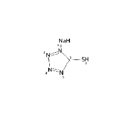 SC1N=NN=N1.[NaH]